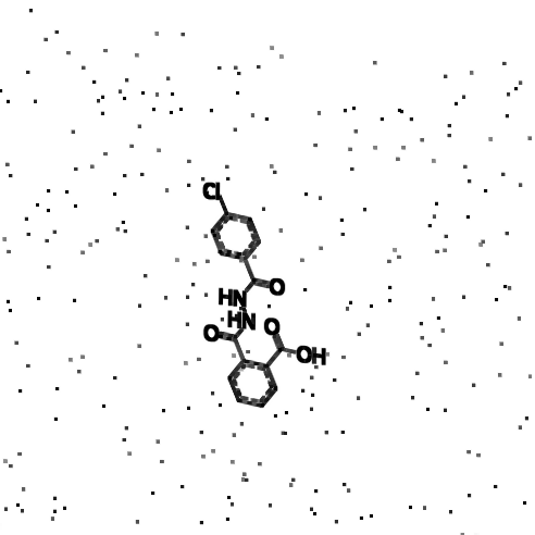 O=C(NNC(=O)c1ccccc1C(=O)O)c1ccc(Cl)cc1